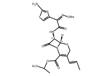 C/C=C/C1=C(C(=O)OC(C)OC(C)=O)N2C(=O)[C@@H](NC(=O)/C(=N\OC)c3csc(N)n3)[C@@H]2SC1